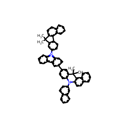 CC1(C)c2cc(-n3c4ccccc4c4cc(-c5ccc6c(c5)C(C)(C)c5c(ccc7ccccc57)N6c5ccc6ccccc6c5)ccc43)ccc2-c2c1ccc1ccccc21